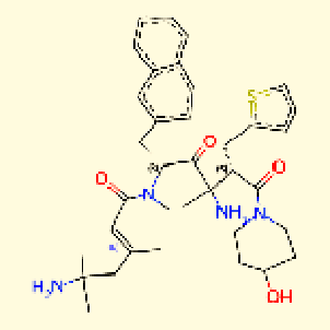 C/C(=C\C(=O)N(C)[C@H](Cc1ccc2ccccc2c1)C(=O)C(C)(N)[C@H](Cc1cccs1)C(=O)N1CCC(O)CC1)CC(C)(C)N